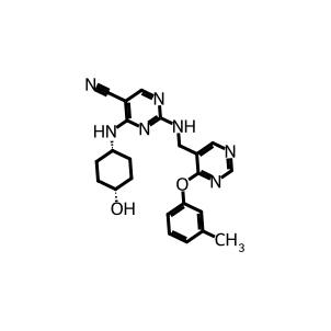 Cc1cccc(Oc2ncncc2CNc2ncc(C#N)c(N[C@H]3CC[C@@H](O)CC3)n2)c1